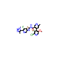 COc1cnc(Cl)c(F)c1-c1cc(C)ncc1C(=O)Nc1nc2cnc(-c3c(C)nnn3C)c(F)c2s1